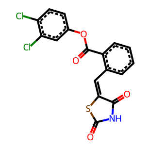 O=C1NC(=O)/C(=C\c2ccccc2C(=O)Oc2ccc(Cl)c(Cl)c2)S1